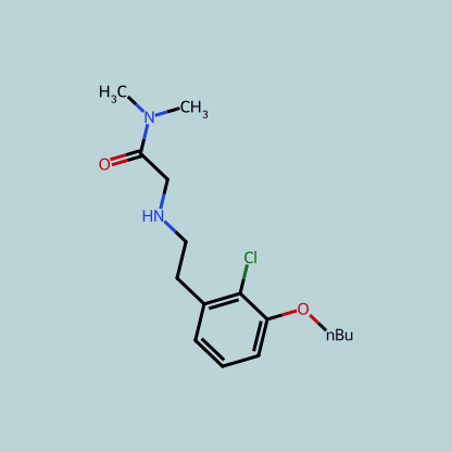 CCCCOc1cccc(CCNCC(=O)N(C)C)c1Cl